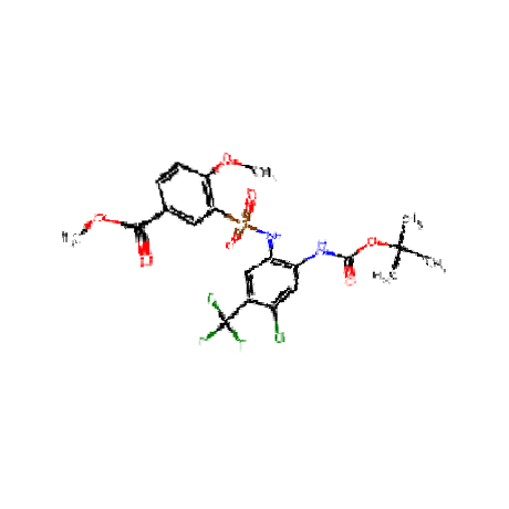 COC(=O)c1ccc(OC)c(S(=O)(=O)Nc2cc(C(F)(F)F)c(Cl)cc2NC(=O)OC(C)(C)C)c1